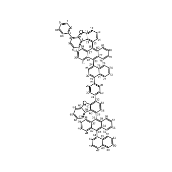 c1ccc(-c2cccc3c2oc2cccc(-c4c5ccccc5c(-c5ccc(-c6ccc(-c7ccc(-c8c9ccccc9c(-c9cccc%10ccccc9%10)c9ccccc89)c8c7oc7ccccc78)cc6)c6ccccc56)c5ccccc45)c23)cc1